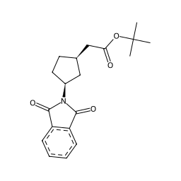 CC(C)(C)OC(=O)C[C@@H]1CC[C@H](N2C(=O)c3ccccc3C2=O)C1